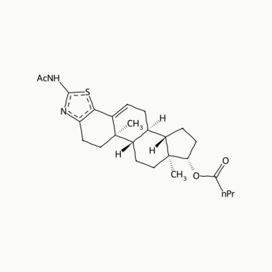 CCCC(=O)O[C@H]1CC[C@H]2[C@@H]3CC=C4c5sc(NC(C)=O)nc5CC[C@]4(C)[C@H]3CC[C@]12C